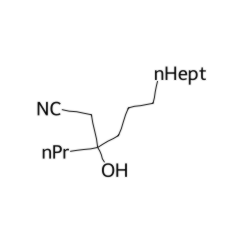 CCCCCCCCCCC(O)(CC#N)CCC